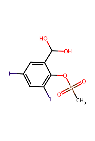 CS(=O)(=O)Oc1c(I)cc(I)cc1C(O)O